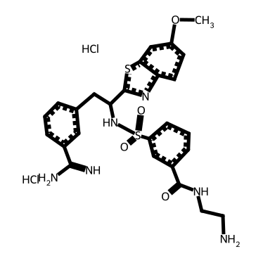 COc1ccc2nc(C(Cc3cccc(C(=N)N)c3)NS(=O)(=O)c3cccc(C(=O)NCCN)c3)sc2c1.Cl.Cl